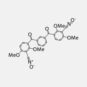 COc1ccc(C(=O)c2cccc(C(=O)c3ccc(OC)c(C#[N+][O-])c3OC)c2)c(OC)c1C#[N+][O-]